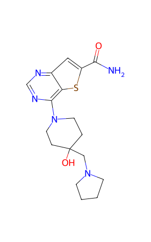 NC(=O)c1cc2ncnc(N3CCC(O)(CN4CCCC4)CC3)c2s1